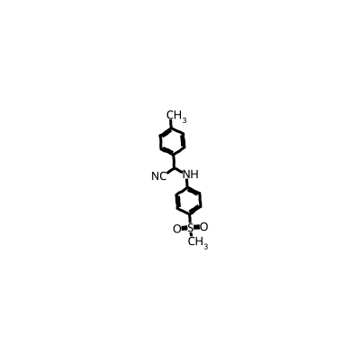 Cc1ccc(C(C#N)Nc2ccc(S(C)(=O)=O)cc2)cc1